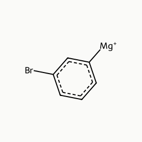 [Mg+][c]1cccc(Br)c1